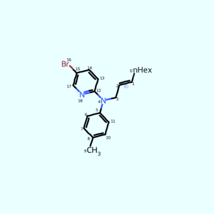 CCCCCC/C=C/CN(c1ccc(C)cc1)c1ccc(Br)cn1